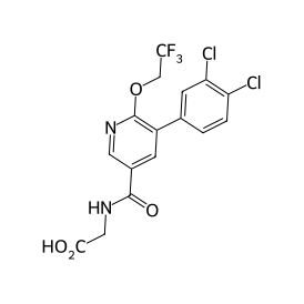 O=C(O)CNC(=O)c1cnc(OCC(F)(F)F)c(-c2ccc(Cl)c(Cl)c2)c1